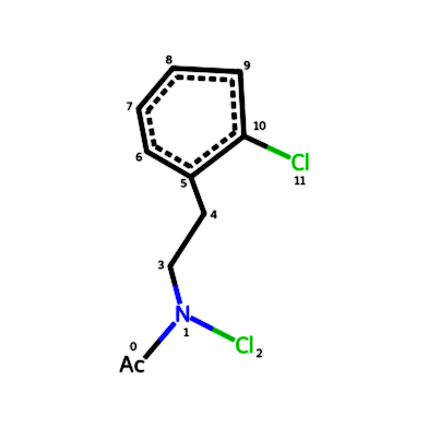 CC(=O)N(Cl)CCc1ccccc1Cl